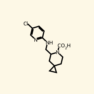 O=C(O)N1CCC2(CC2)CC1CNc1ccc(Cl)cn1